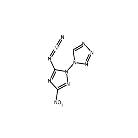 [N-]=[N+]=Nc1nc([N+](=O)[O-])nn1-n1cnnn1